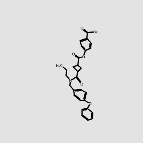 CCCN(Cc1ccc(Oc2ccccc2)cc1)C(=O)C1CC(C(=O)Oc2ccc(C(=O)O)cc2)C1